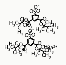 CC(C)C(C)(C)OC(=O)c1cc(C(=O)OC(C)(C)C(C)C)cc(S(=O)(=O)[O-])c1.CC(C)C(C)(C)OC(=O)c1cc(C(=O)OC(C)(C)C(C)C)cc(S(=O)(=O)[O-])c1.[Ba+2]